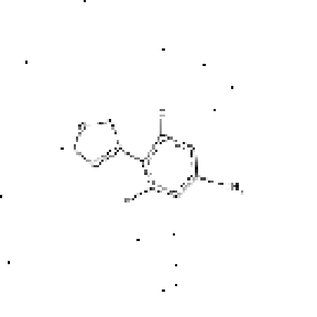 Cc1cc(F)c(C2=CCOC2)c(F)c1